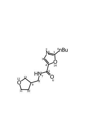 CCCCc1ncc(C(=O)NCC2CCOC2)o1